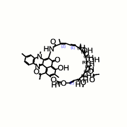 CO[C@H]1/C=C/O[C@@H](C)Oc2c(C)c(O)c3c(=O)c(c4n(C)c5cc(C)ccc5nc-4c3c2C(C)=O)NC(=O)/C(C)=C\C=C\[C@H](C)[C@H](O)[C@@H](C)[C@@H](O)[C@@H](C)[C@H](OC(C)=O)[C@@H]1C